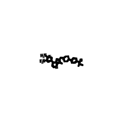 CN(C)C(=O)c1ccc(C2CCN(Cc3cc4c(-c5cnc(N)c(C(F)(F)F)c5)ccnc4n3C)CC2)cc1